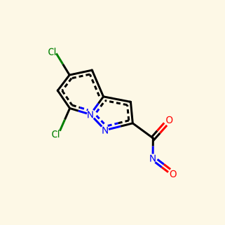 O=NC(=O)c1cc2cc(Cl)cc(Cl)n2n1